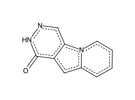 O=c1[nH]ncc2c1cc1ccccn12